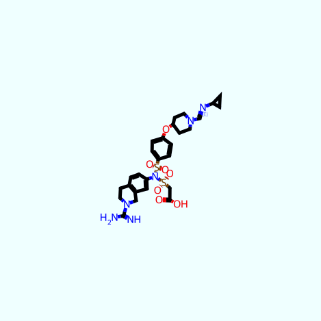 N=C(N)N1CCc2ccc(N(S(=O)(=O)CC(=O)O)S(=O)(=O)c3ccc(OC4CCN(/C=N/C5CC5)CC4)cc3)cc2C1